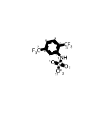 O=S(=O)(Nc1cc(C(F)(F)F)ccc1C(F)(F)F)C(F)(F)F